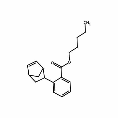 CCCCCOC(=O)c1ccccc1C1CC2C=CC1C2